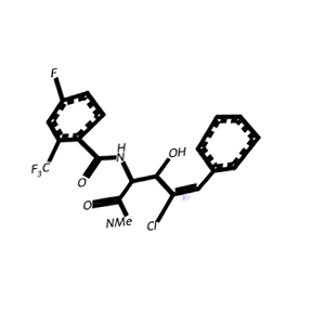 CNC(=O)C(NC(=O)c1ccc(F)cc1C(F)(F)F)C(O)/C(Cl)=C\c1ccccc1